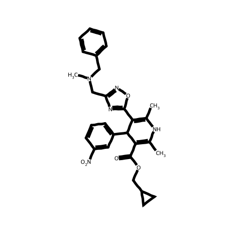 CC1=C(C(=O)OCC2CC2)C(c2cccc([N+](=O)[O-])c2)C(c2nc(CN(C)Cc3ccccc3)no2)=C(C)N1